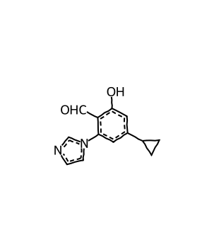 O=Cc1c(O)cc(C2CC2)cc1-n1ccnc1